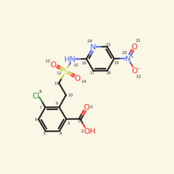 O=C(O)c1cccc(Cl)c1CCS(=O)(=O)Nc1ccc([N+](=O)[O-])cn1